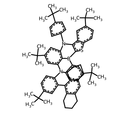 CC(C)(C)c1ccc(N2c3cc(C(C)(C)C)cc4c3B(c3cc(C(C)(C)C)ccc3N4c3ccc(C(C)(C)C)cc3-c3c4c(cc5c3CCCC5)CCCC4)c3sc4ccc(C(C)(C)C)cc4c32)cc1